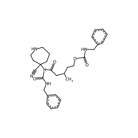 CC(CCOC(=O)NCc1ccccc1)CC(=O)N(C(=O)NCc1ccccc1)C1(C#N)CCCNCC1